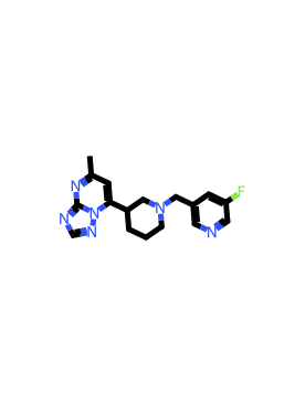 Cc1cc(C2CCCN(Cc3cncc(F)c3)C2)n2ncnc2n1